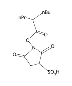 CCCCC(CCC)C(=O)ON1C(=O)CC(S(=O)(=O)O)C1=O